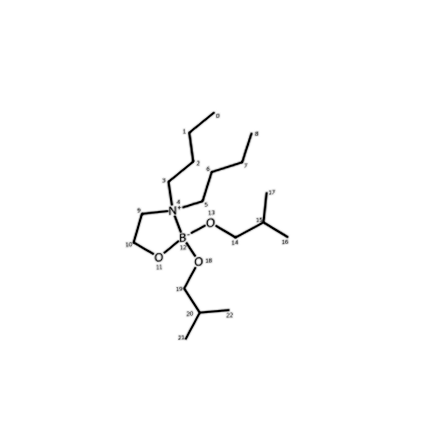 CCCC[N+]1(CCCC)CCO[B-]1(OCC(C)C)OCC(C)C